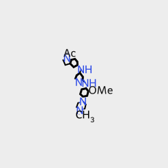 COc1cc(N2CCN(C)CC2)ccc1Nc1cc(Nc2ccc3c(c2)CCN3C(C)=O)ccn1